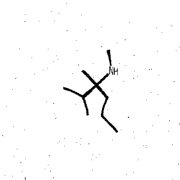 CCCC(C)(NC)C(C)C